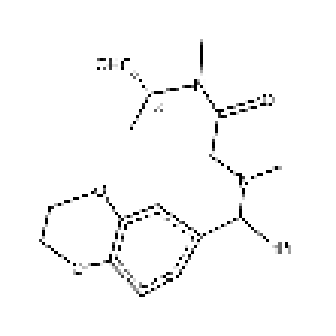 CCCC(c1ccc2c(c1)OCCO2)N(C)CC(=O)N(C)[C@H](C)C=O